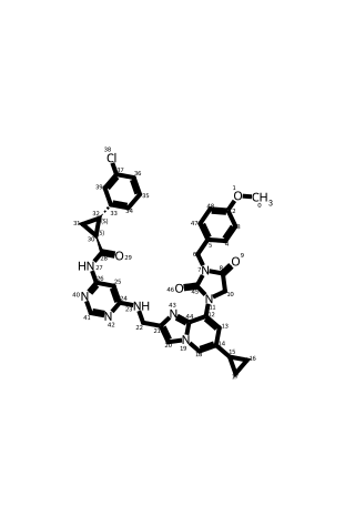 COc1ccc(CN2C(=O)CN(c3cc(C4CC4)cn4cc(CNc5cc(NC(=O)[C@H]6C[C@@H]6c6cccc(Cl)c6)ncn5)nc34)C2=O)cc1